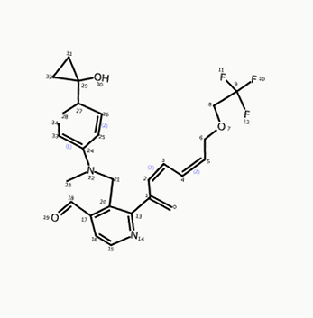 C=C(/C=C\C=C/COCC(F)(F)F)c1nccc(C=O)c1CN(C)C(/C=C\C(C)C1(O)CC1)=C/C